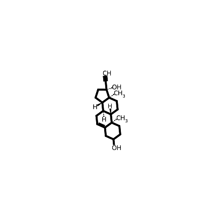 C#C[C@]1(O)CC[C@H]2[C@@H]3CC=C4CC(O)CC[C@]4(C)[C@H]3CC[C@@]21C